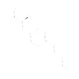 CCCCCc1ccc(C[C@H](N)C(=O)O)cc1